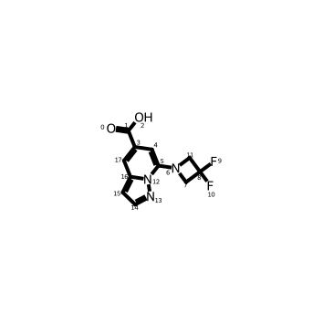 O=C(O)c1cc(N2CC(F)(F)C2)n2nccc2c1